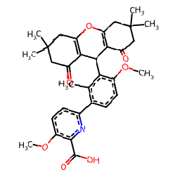 COc1ccc(-c2ccc(OC)c(C3C4=C(CC(C)(C)CC4=O)OC4=C3C(=O)CC(C)(C)C4)c2C)nc1C(=O)O